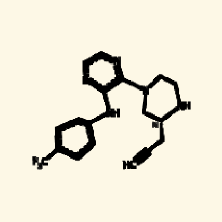 C#CC[C@H]1CN(c2nccnc2Nc2ccc(C(F)(F)F)cc2)CCN1